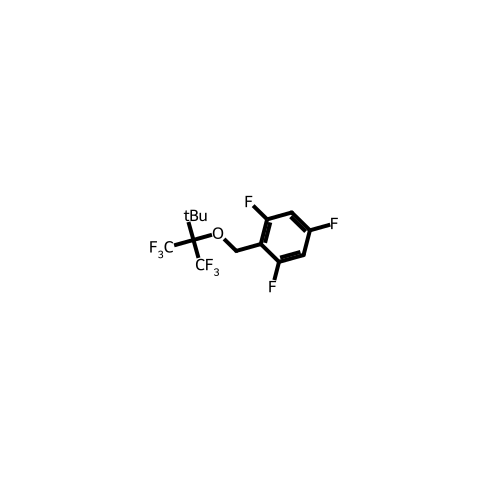 CC(C)(C)C(OCc1c(F)cc(F)cc1F)(C(F)(F)F)C(F)(F)F